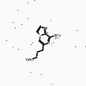 COCCCc1cn2ccnc2c(SC)n1